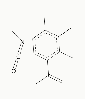 C=C(C)c1ccc(C)c(C)c1C.CN=C=O